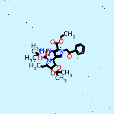 CCOC(=O)c1c(N)c(C2C3OC(C)(C)OC3C(CC)N2C(=O)OC(C)(C)C)cn1CC(=O)c1ccccc1